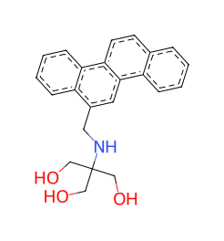 OCC(CO)(CO)NCc1cc2c3ccccc3ccc2c2ccccc12